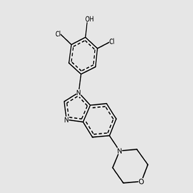 Oc1c(Cl)cc(-n2cnc3cc(N4CCOCC4)ccc32)cc1Cl